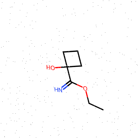 CCOC(=N)C1(O)CCC1